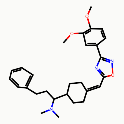 COc1ccc(-c2noc(C=C3CCC(C(CCc4ccccc4)N(C)C)CC3)n2)cc1OC